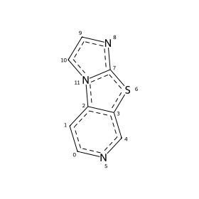 c1cc2c(cn1)sc1nccn12